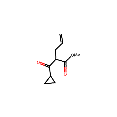 C=CCC(C(=O)OC)C(=O)C1CC1